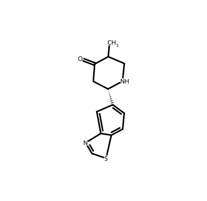 CC1CN[C@H](c2ccc3scnc3c2)CC1=O